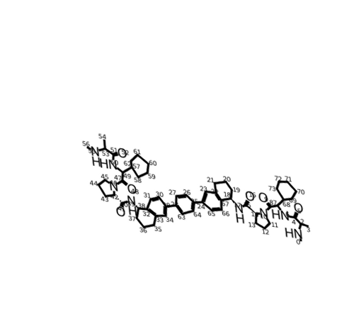 CNC(C)C(=O)NC(C(=O)N1CCC[C@H]1C(=O)N[C@@H]1CCCc2cc(-c3ccc(-c4ccc5c(c4)CCC[C@H]5NC(=O)[C@@H]4CCCN4C(=O)C(NC(=O)C(C)NC)C4CCCCC4)cc3)ccc21)C1CCCCC1